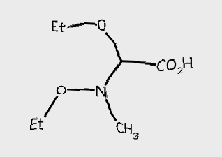 CCOC(C(=O)O)N(C)OCC